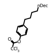 CCCCCCCCCCCCCCc1ccc(OC(=O)C(Cl)(Cl)Cl)cc1